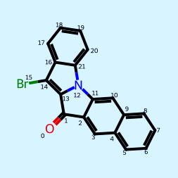 O=C1c2cc3ccccc3cc2-n2c1c(Br)c1ccccc12